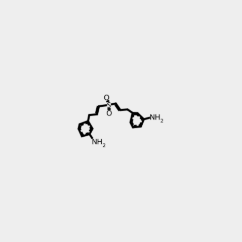 Nc1cccc(CC=CS(=O)(=O)C=CCc2cccc(N)c2)c1